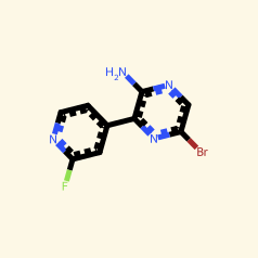 Nc1ncc(Br)nc1-c1ccnc(F)c1